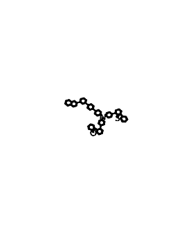 c1cc(-c2ccc(-c3ccc(N(c4ccc(-c5cccc6c5sc5ccccc56)cc4)c4ccc(-c5cccc6oc7ccccc7c56)cc4)cc3)cc2)cc(-c2ccc3ccccc3c2)c1